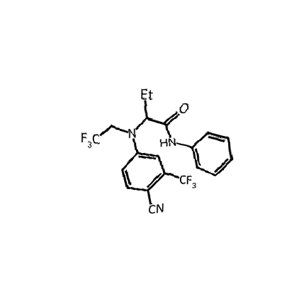 CCC(C(=O)Nc1ccccc1)N(CC(F)(F)F)c1ccc(C#N)c(C(F)(F)F)c1